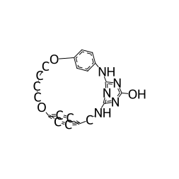 Oc1nc2nc(n1)Nc1ccc(cc1)OCCCCOc1ccc(cc1)CN2